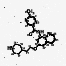 Cc1cnc(C(=O)Nc2cc(OCCC3CCNCC3)cc3cccnc23)cn1